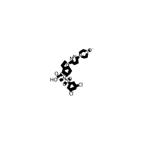 O=P(O)(O)CN(c1ccc2c(ccn2-c2ccc(N3CC[S+]([O-])CC3)nn2)c1)S(=O)(=O)C1C=C(Cl)C=C(Cl)C1